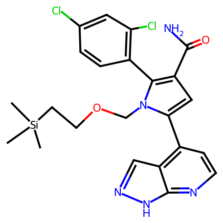 C[Si](C)(C)CCOCn1c(-c2ccnc3[nH]ncc23)cc(C(N)=O)c1-c1ccc(Cl)cc1Cl